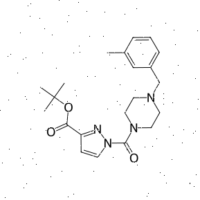 Cc1cccc(CN2CCN(C(=O)n3ccc(C(=O)OC(C)(C)C)n3)CC2)c1